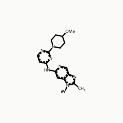 COC1CCN(c2nccc(Nc3cc4c(cn3)nc(C)n4C(C)C)n2)CC1